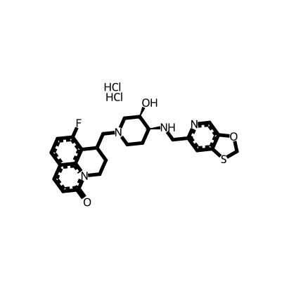 Cl.Cl.O=c1ccc2ccc(F)c3c2n1CCC3CN1CC[C@H](NCc2cc3c(cn2)OCS3)[C@H](O)C1